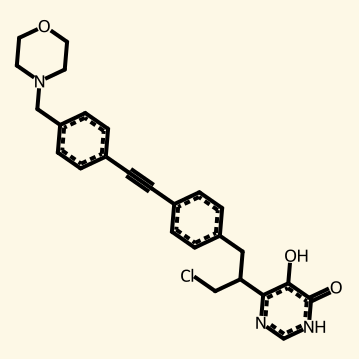 O=c1[nH]cnc(C(CCl)Cc2ccc(C#Cc3ccc(CN4CCOCC4)cc3)cc2)c1O